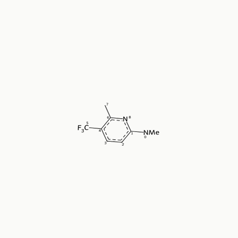 CNc1ccc(C(F)(F)F)c(C)n1